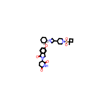 CC1(S(=O)(=O)N2CCC(C3CN([C@H]4CCCC[C@@H]4Oc4ccc5c(c4)CN(C4CCC(=O)NC4=O)C5=O)C3)CC2)CCC1